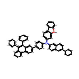 c1ccc(-c2ccc3cc(N(c4ccc(-c5ccc6c(c5)c(-c5ccccc5)c(-c5ccccc5)c5ccccc56)cc4)c4ccc5c(c4)oc4ccccc45)ccc3c2)cc1